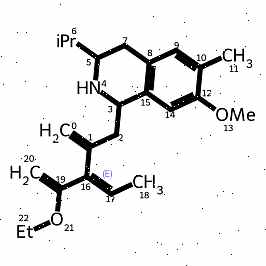 C=C(CC1NC(C(C)C)Cc2cc(C)c(OC)cc21)/C(=C\C)C(=C)OCC